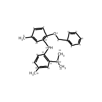 Cc1ccc(OCc2ccccc2)c(Pc2ccc(C)cc2N(C)C)c1